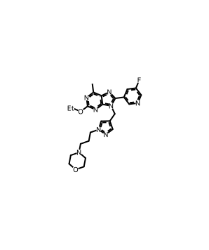 CCOc1nc(C)c2nc(-c3cncc(F)c3)n(Cc3cnn(CCCN4CCOCC4)c3)c2n1